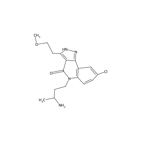 COCCc1[nH]nc2c1c(=O)n(CCC(C)N)c1ccc(Cl)cc21